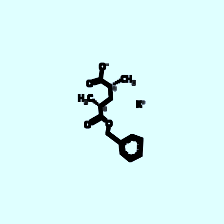 C[C@H](C[C@@H](C)C(=O)OCc1ccccc1)C(=O)[O-].[K+]